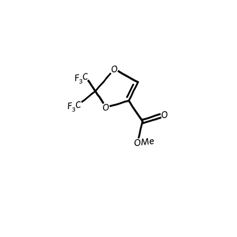 COC(=O)C1=COC(C(F)(F)F)(C(F)(F)F)O1